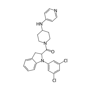 O=C(C1Cc2ccccc2N1c1cc(Cl)cc(Cl)c1)N1CCC(Nc2ccncc2)CC1